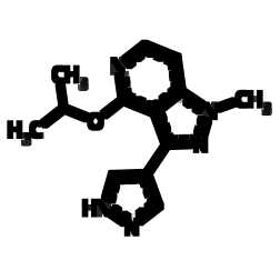 CC(C)Oc1nccc2c1c(-c1cn[nH]c1)nn2C